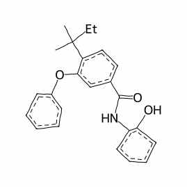 CCC(C)(C)c1ccc(C(=O)Nc2ccccc2O)cc1Oc1ccccc1